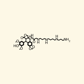 COc1cc(C2c3cc4c(cc3[C@@H](NC(=O)CNCCCNCCCCNCCCN)[C@H]3COC(=O)C23)OCO4)cc(OC)c1O